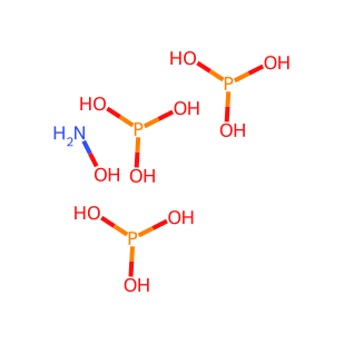 NO.OP(O)O.OP(O)O.OP(O)O